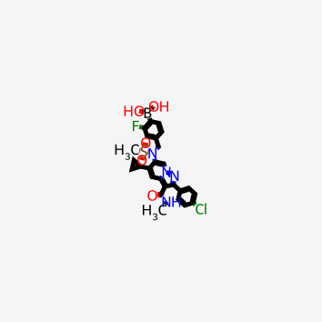 CNC(=O)c1c(-c2ccc(Cl)cc2)nn2cc(N(Cc3ccc(B(O)O)c(F)c3)S(C)(=O)=O)c(C3CC3)cc12